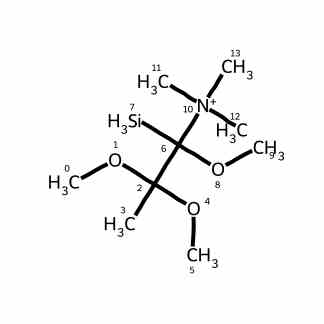 COC(C)(OC)C([SiH3])(OC)[N+](C)(C)C